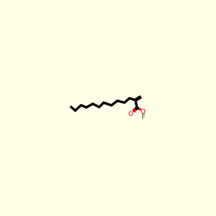 C=C(CCCCCCCCCCC)C(=O)OF